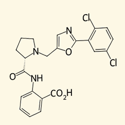 O=C(O)c1ccccc1NC(=O)[C@@H]1CCCN1Cc1cnc(-c2cc(Cl)ccc2Cl)o1